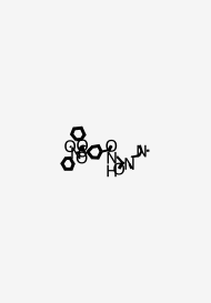 CN(C)CCN(C)C(=O)CNC(=O)c1ccc(S(=O)(=O)N(Oc2ccccc2)c2ccccc2)cc1